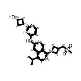 CC(C)c1cnc(N2CC(CS(C)(=O)=O)C2)c2cnc(Nc3ccnc([C@H]4C[C@@H](O)C4)n3)cc12